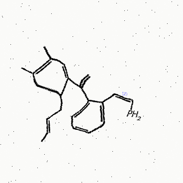 C=C(C1=CC(C)=C(C)CC1CC=CC)c1ccccc1/C=C\P